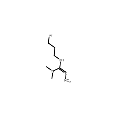 CC(C)CCCN/C(=N/[N+](=O)[O-])N(C)C